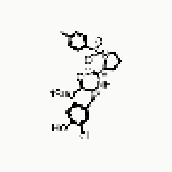 Cc1ccc(S(=O)(=O)N2CCC[C@H]2C(=O)N[C@@H](Cc2ccc(O)c(Cl)c2)C(=O)OC(C)(C)C)cc1